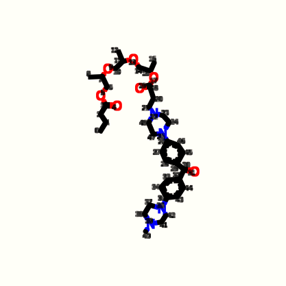 CCCC(=O)OCC(C)OCC(C)OCC(C)OC(=O)CCN1CCN(c2ccc(C(=O)c3ccc(N4CCN(C)CC4)cc3)cc2)CC1